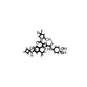 C[C@H]1CC(F)(F)CN1C(=O)c1nc(C(=O)NC2CCS(O)(O)CC2)sc1-c1cnc(NC2(C)CCC2)cc1C(F)F